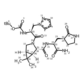 CC(C)(C)OC(=O)N[C@@H](Cn1cccn1)C(=O)N1C[C@H]2[C@@H]([C@H]1C(=O)N[C@@H](C[C@@H]1CCNC1=O)C(N)=O)C2(C)C